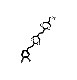 CCCC1COC(CCC2COC(CCc3ccc(F)c(F)c3)OC2)OC1